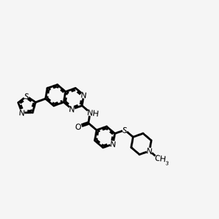 CN1CCC(Sc2cc(C(=O)Nc3ncc4ccc(-c5cncs5)cc4n3)ccn2)CC1